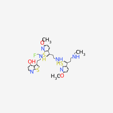 CCNCCC1=C[SH](CNCCC2=C[SH](N(CF)CCc3csc4nccc(O)c34)c3nc(OC)ccc32)c2nc(OC)ccc21